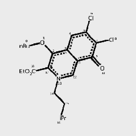 CCCCOc1c2cc(Cl)c(Cl)c(=O)c-2cn(CCC(C)C)c1C(=O)OCC